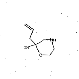 C=CCC1(N=O)CNCCO1